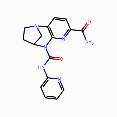 NC(=O)c1ccc2c(n1)N(C(=O)Nc1ccccn1)C1CCN2C1